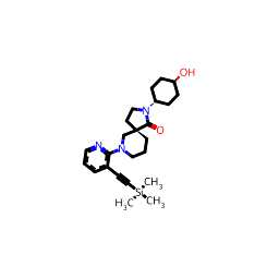 C[Si](C)(C)C#Cc1cccnc1N1CCC[C@]2(CCN([C@H]3CC[C@H](O)CC3)C2=O)C1